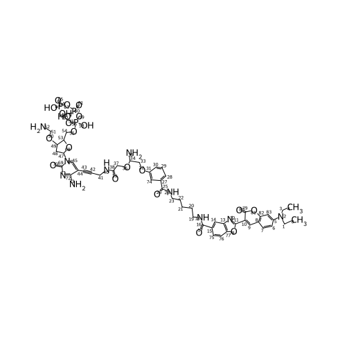 CCN(CC)c1ccc2cc(-c3nc4cc(C(=O)NCCCCCNC(=O)c5cccc(OCC(N)OCC(=O)NCC#Cc6cn(C7CC(OCN)C(COP(=O)(O)OP(=O)(O)OP(=O)(O)O)O7)c(=O)nc6N)c5)ccc4o3)c(=O)oc2c1